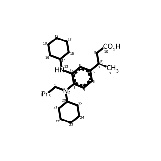 CC(C)CN(c1ccc([C@H](C)CC(=O)O)cc1NC1CCCCC1)C1CCCCC1